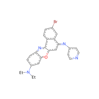 CCN(CC)c1ccc2nc3c4ccc(Br)cc4c(=Nc4ccncc4)cc-3oc2c1